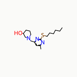 CCCCCCSc1nc(C)cc(CN2CCCC(O)C2)n1